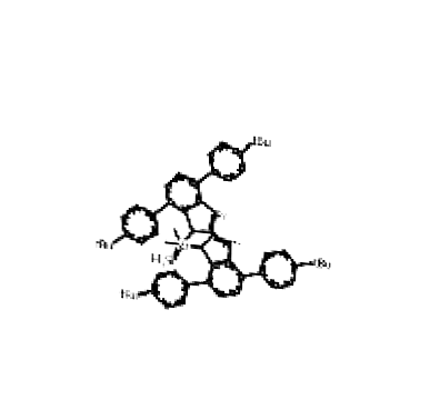 CCCC1=Cc2c(-c3ccc(C(C)(C)C)cc3)ccc(-c3ccc(C(C)(C)C)cc3)c2[CH]1[Zr]([CH3])([CH3])(=[SiH2])[CH]1C(CCC)=Cc2c(-c3ccc(C(C)(C)C)cc3)ccc(-c3ccc(C(C)(C)C)cc3)c21